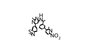 Cc1nc(NC(C)c2cccc(-c3ccc([N+](=O)[O-])nc3C)c2)cc(-c2ccc3ncsc3c2)n1